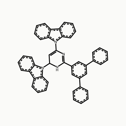 C1=C(n2c3ccccc3c3ccccc32)N=C(c2cc(-c3ccccc3)cc(-c3ccccc3)c2)NC1n1c2ccccc2c2ccccc21